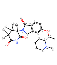 [2H]C1([2H])C(=O)NC(=O)C([2H])(N2Cc3cc(OC(C)[C@H]4CCCCN4CC)ccc3C2=O)C1([2H])[2H]